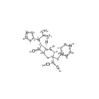 CC(=O)N(c1cccs1)C1C(=O)N2CC(C[n+]3ccncc3)(C(=O)[O-])CS[C@H]12